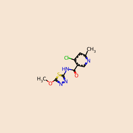 COc1nnc(NC(=O)c2cnc(C)cc2Cl)s1